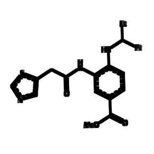 CCC(CC)Nc1ccc(C(=O)OC)cc1NC(=O)Cc1cncs1